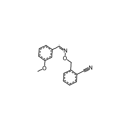 COc1cccc(/[C]=N\OCc2ccccc2C#N)c1